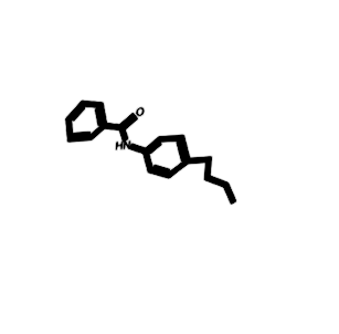 CCCCc1ccc(NC(=O)c2ccccc2)cc1